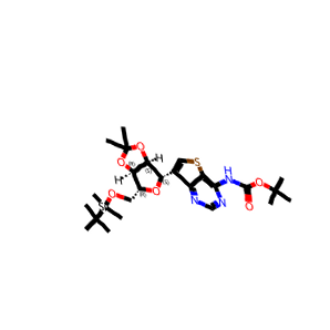 CC(C)(C)OC(=O)Nc1ncnc2c([C@@H]3O[C@H](CO[Si](C)(C)C(C)(C)C)[C@H]4OC(C)(C)O[C@H]43)csc12